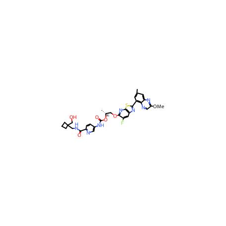 COc1cnc2c(-c3nc4cc(F)c(OC[C@@H](C)OC(=O)Nc5ccc(C(=O)NCC6(CO)CCC6)nc5)nc4s3)cc(C)cc2n1